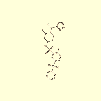 Cc1ccc(S(=O)(=O)c2ccccc2)cc1S(=O)(=O)NC1CCN(C(=O)c2ccno2)C(I)C1